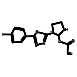 CC(C)(C)C(=O)OC1NCC[C@@H]1c1nnc(-c2ccc(I)cc2)o1